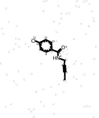 CC#CCNC(=O)c1ccc(Cl)cc1